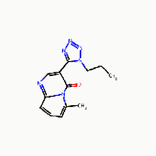 CCCn1nnnc1-c1cnc2cccc(C)n2c1=O